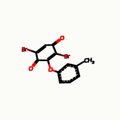 Cc1cccc(OC2=C(Br)C(=O)C=C(Br)C2=O)c1